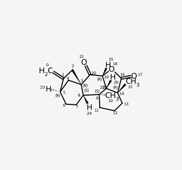 C=C1C[C@]23C[C@H]1CC[C@H]2[C@]1(C)CCC[C@@]2(C)C(=O)O[C@@H](C3=O)[C@@H]12